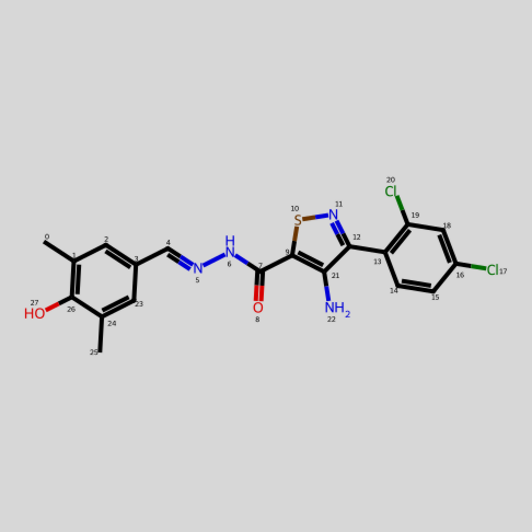 Cc1cc(C=NNC(=O)c2snc(-c3ccc(Cl)cc3Cl)c2N)cc(C)c1O